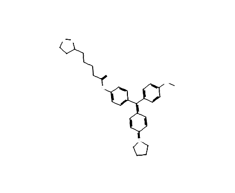 COc1ccc(C(=C2C=CC(=[N+]3CCCC3)C=C2)c2ccc(NC(=O)CCCCC3CCSS3)cc2)cc1